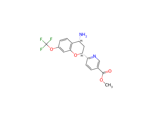 COC(=O)c1ccc([C@H]2C[C@@H](N)c3ccc(OC(F)(F)F)cc3O2)nc1